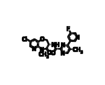 Cc1cnc(C(=O)N[C@H]2COc3cc(Cl)cnc3N(C)C2=O)nc1-c1cncc(F)c1